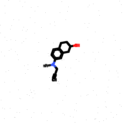 C#CCN(CCC)c1ccc2c(c1)CC(O)CC2